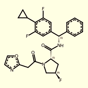 O=C(N[C@@H](c1ccccc1)c1cc(F)c(C2CC2)c(F)c1)[C@@H]1C[C@@H](F)CN1C(=O)Cc1ncco1